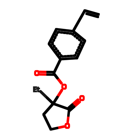 C=Cc1ccc(C(=O)OC2(CC)CCOC2=O)cc1